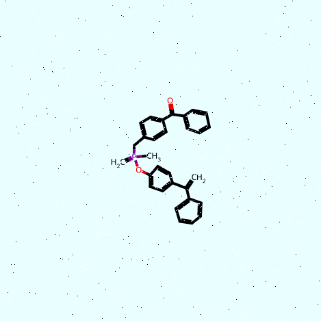 C=C(c1ccccc1)c1ccc(OP(=C)(C)Cc2ccc(C(=O)c3ccccc3)cc2)cc1